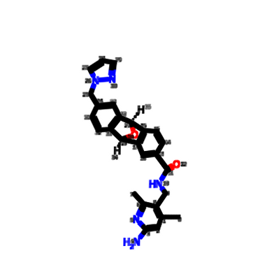 Cc1cc(N)nc(C)c1CNC(=O)c1ccc2c(c1)[C@@H]1O[C@H]2c2cc(Cn3cccn3)ccc21